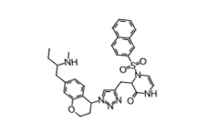 CCC(Cc1ccc2c(c1)OCCC2n1cc(CC2C(=O)NC=CN2S(=O)(=O)c2ccc3ccccc3c2)nn1)NC